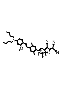 CCCCN(CCCC)c1ccc(C=Cc2cc(C)c(C=CC3=C(C#N)C(=C(C#N)C#N)OC3(C)C(F)(F)F)cc2C)c(OC)c1